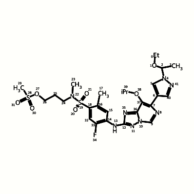 CCOC(C)n1cc(-c2ncn3nc(Nc4cc(C)c(S(=O)(=O)N(C)CCCOS(C)(=O)=O)cc4F)nc3c2OC(C)C)cn1